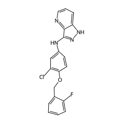 Fc1ccccc1COc1ccc(Nc2n[nH]c3cccnc23)cc1Cl